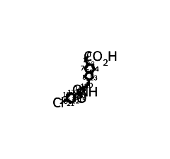 O=C(O)Cc1ccc2c(c1)CC(CCNS(=O)(=O)c1ccc(Cl)cc1)C2